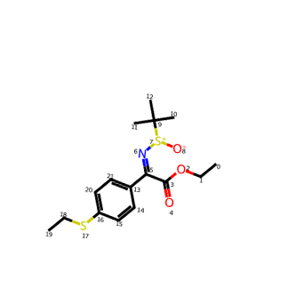 CCOC(=O)C(=N[S+]([O-])C(C)(C)C)c1ccc(SCC)cc1